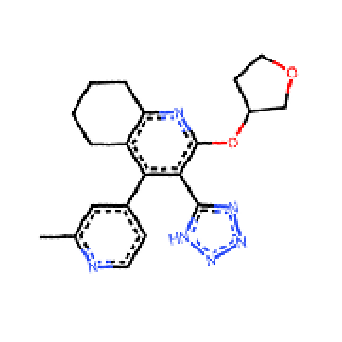 Cc1cc(-c2c3c(nc(OC4CCOC4)c2-c2nnn[nH]2)CCCC3)ccn1